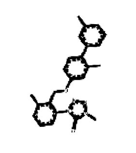 Cc1cccc(-c2ccc(OCc3c(C)cccc3-n3nnn(C)c3=O)cc2C)c1